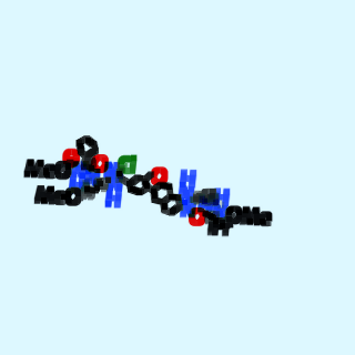 COCN[C@H](C(=O)N1[C@@H](C)CC[C@H]1c1nc2ccc3cc4c(cc3c2[nH]1)OCc1cc(-c2[nH]c([C@@H]3C[C@H](COC)CN3C(=O)[C@H](NC(=O)OC)c3ccccc3)nc2Cl)ccc1-4)C(C)C